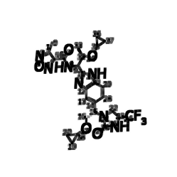 Cc1nonc1C(=O)N[C@H](c1nc2cc([C@@H](COC3CC3)N3C[C@@H](C(F)(F)F)NC3=O)ccc2[nH]1)[C@@H](C)OC1CC1